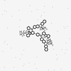 Cc1cccc2c1oc1c(N(c3ccc(-c4cc(N(c5ccccc5)c5ccc6cc7c(cc6c5)C(C)(C)c5cc6ccccc6cc5-7)c5oc6c(C(C)(C)C)cccc6c5c4)cc3)c3ccc4cc5c(cc4c3)C(C)(C)c3cc4ccccc4cc3-5)cccc12